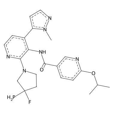 CC(C)Oc1ccc(C(=O)Nc2c(-c3ccnn3C)ccnc2N2CCC(F)(P)C2)cn1